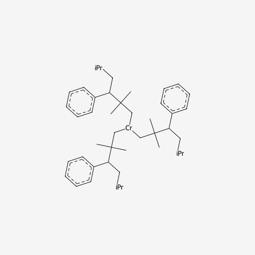 CC(C)CC(c1ccccc1)C(C)(C)[CH2][Cr]([CH2]C(C)(C)C(CC(C)C)c1ccccc1)[CH2]C(C)(C)C(CC(C)C)c1ccccc1